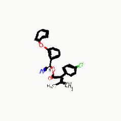 CC(C)C(C(=O)O[C@@H](C#N)c1cccc(Oc2ccccc2)c1)c1ccc(Cl)cc1